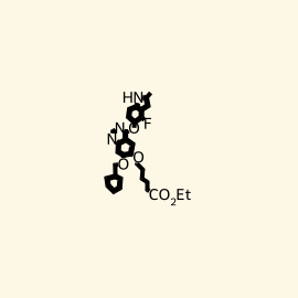 CCOC(=O)CCCCCOc1cc2c(Oc3ccc4[nH]c(C)cc4c3F)ncnc2cc1OCc1ccccc1